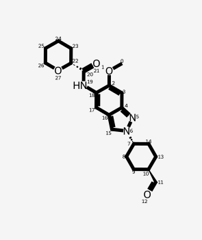 COc1cc2nn([C@H]3CC[C@H](C=O)CC3)cc2cc1NC(=O)[C@H]1CCCCO1